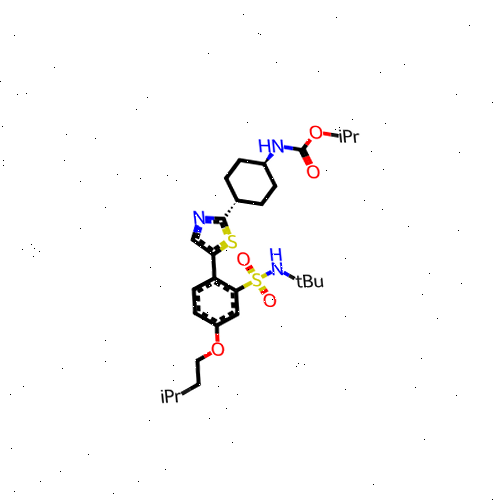 CC(C)CCOc1ccc(-c2cnc([C@H]3CC[C@H](NC(=O)OC(C)C)CC3)s2)c(S(=O)(=O)NC(C)(C)C)c1